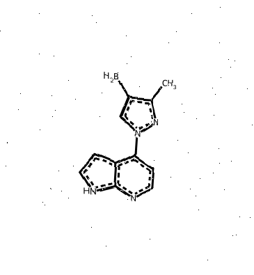 Bc1cn(-c2ccnc3[nH]ccc23)nc1C